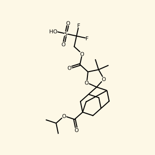 CC(C)OC(=O)C12CC3CC(C1)C1(OC(C(=O)OCC(F)(F)S(=O)(=O)O)C(C)(C)O1)C(C3)C2